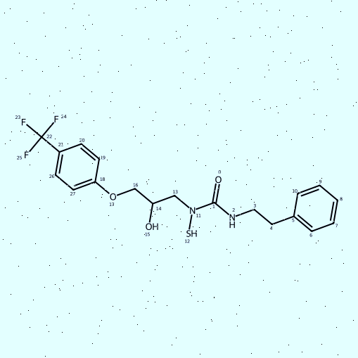 O=C(NCCc1ccccc1)N(S)CC(O)COc1ccc(C(F)(F)F)cc1